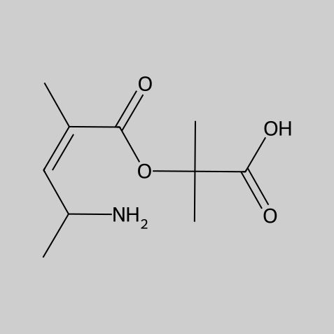 CC(=CC(C)N)C(=O)OC(C)(C)C(=O)O